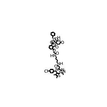 Cc1sc2c(c1C)C(c1ccc(Cl)cc1)=NC(CC(=O)NCCCCNC(=O)COc1cccc3c1C(=O)N(C1(C(=O)OCc4ccccc4)CCC(=O)NC1=O)C3=O)c1nnc(C)n1-2